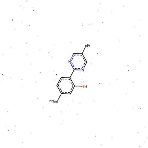 CCCCCCCCCc1ccc(-c2ncc(CCC)cn2)c(S)c1